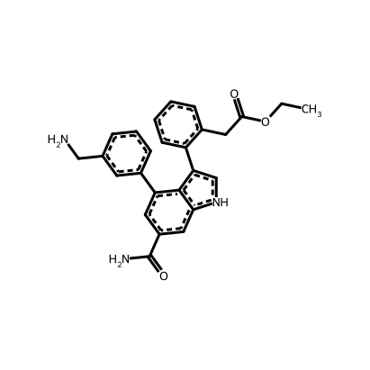 CCOC(=O)Cc1ccccc1-c1c[nH]c2cc(C(N)=O)cc(-c3cccc(CN)c3)c12